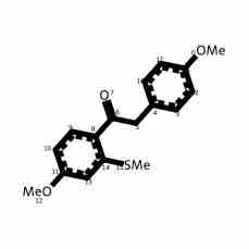 COc1ccc(CC(=O)c2ccc(OC)cc2SC)cc1